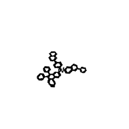 c1ccc(-c2ccc3cc(N(c4ccc(-c5ccc6ccccc6c5)cc4)c4ccc5c(c4)c(-c4ccccc4)c(-c4ccccc4)c4ccccc45)ccc3c2)cc1